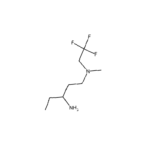 CCC(N)CCN(C)CC(F)(F)F